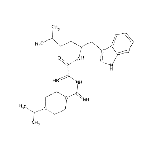 CC(C)CCC(Cc1c[nH]c2ccccc12)NC(=O)C(=N)NC(=N)N1CCN(C(C)C)CC1